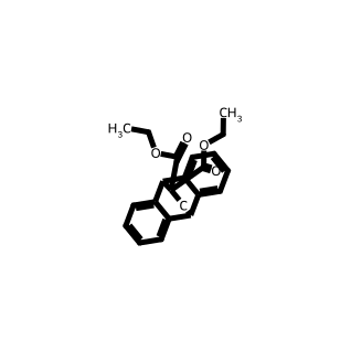 CCOC(=O)C1(C(=O)OCC)CC2c3ccccc3C1c1ccccc12